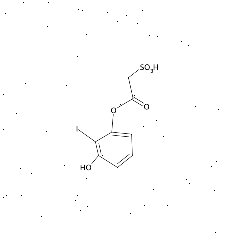 O=C(CS(=O)(=O)O)Oc1cccc(O)c1I